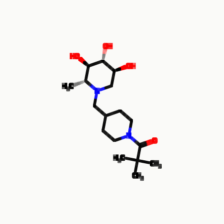 C[C@@H]1[C@@H](O)[C@H](O)[C@@H](O)CN1CC1CCN(C(=O)C(C)(C)C)CC1